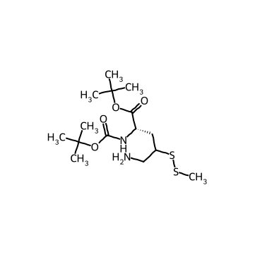 CSSC(CN)C[C@H](NC(=O)OC(C)(C)C)C(=O)OC(C)(C)C